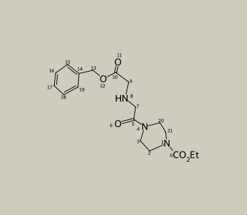 CCOC(=O)N1CCN(C(=O)CNCC(=O)OCc2ccccc2)CC1